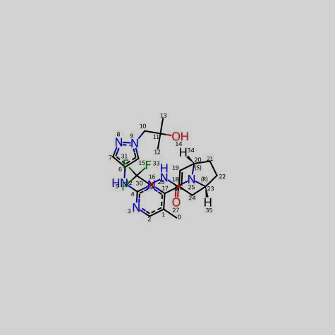 Cc1cnc(Nc2cnn(CC(C)(C)O)c2)nc1C1=C[C@@H]2CC[C@H](C1)N2C(=O)NCC(F)(F)F